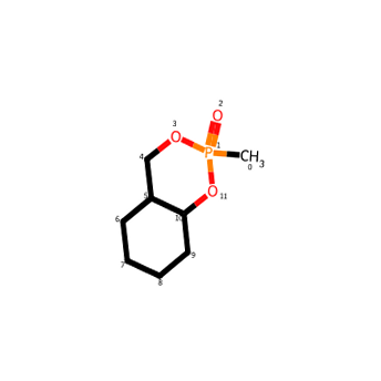 CP1(=O)OCC2CCCCC2O1